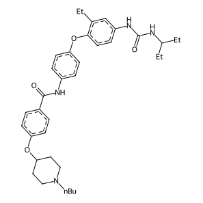 CCCCN1CCC(Oc2ccc(C(=O)Nc3ccc(Oc4ccc(NC(=O)NC(CC)CC)cc4CC)cc3)cc2)CC1